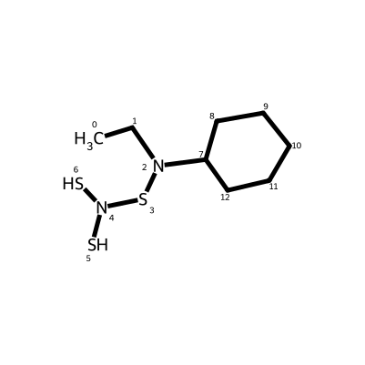 CCN(SN(S)S)C1CCCCC1